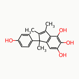 CC1=C(C)C(C)(c2ccc(O)cc2)c2cc(O)c(O)c(O)c21